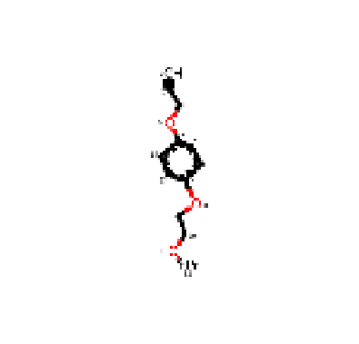 C#CCOc1ccc(OCCOCCC)cc1